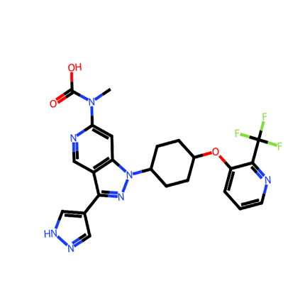 CN(C(=O)O)c1cc2c(cn1)c(-c1cn[nH]c1)nn2C1CCC(Oc2cccnc2C(F)(F)F)CC1